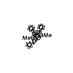 CO[C@H]1O[C@H](COCc2ccccc2)[C@@H](OC)[C@H](OCc2ccccc2)[C@H]1OCc1ccccc1